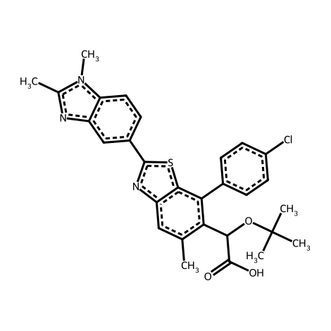 Cc1cc2nc(-c3ccc4c(c3)nc(C)n4C)sc2c(-c2ccc(Cl)cc2)c1C(OC(C)(C)C)C(=O)O